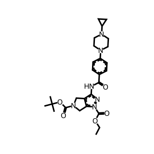 CCOC(=O)n1nc(NC(=O)c2ccc(N3CCN(C4CC4)CC3)cc2)c2c1CN(C(=O)OC(C)(C)C)C2